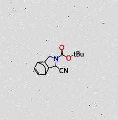 CC(C)(C)OC(=O)N1CC2C3C=CC(CC3)C2C1C#N